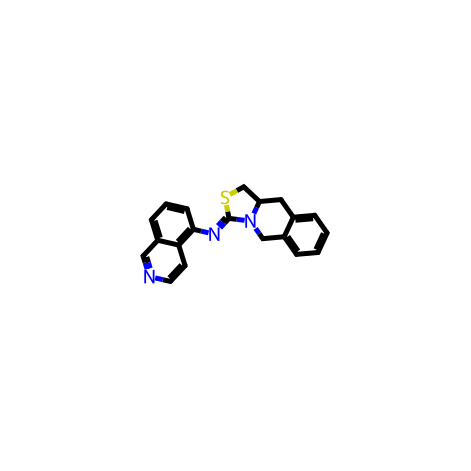 c1ccc2c(c1)CC1CSC(=Nc3cccc4cnccc34)N1C2